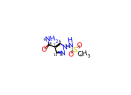 CS(=O)(=O)Nn1cc(C(N)=O)cn1